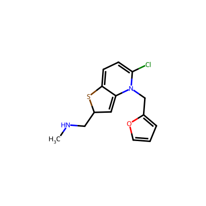 CNCC1C=C2C(=CC=C(Cl)N2Cc2ccco2)S1